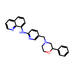 c1ccc(C2CN(Cc3ccc(Nc4cccc5cccnc45)nc3)CCO2)cc1